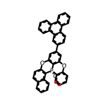 O=P12c3c(cc(-c4ccc5c6ccccc6c6ccccc6c5c4)cc3Oc3ccc4ccccc4c31)Oc1ccc3ccccc3c12